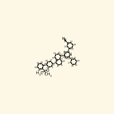 CC1(C)Oc2cc(-c3cccc4c(-c5nc(-c6ccccc6)nc(-c6cccc(C#N)c6)n5)cccc34)ccc2-c2ccccc21